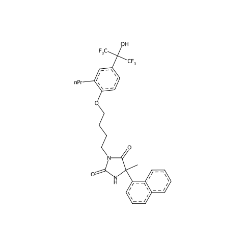 CCCc1cc(C(O)(C(F)(F)F)C(F)(F)F)ccc1OCCCCN1C(=O)NC(C)(c2cccc3ccccc23)C1=O